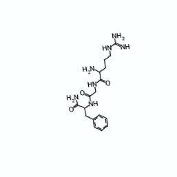 N=C(N)NCCCC(N)C(=O)NCC(=O)NC(Cc1ccccc1)C(N)=O